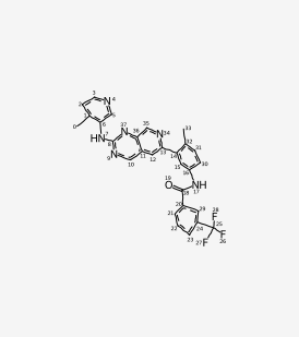 Cc1ccncc1Nc1ncc2cc(-c3cc(NC(=O)c4cccc(C(F)(F)F)c4)ccc3C)ncc2n1